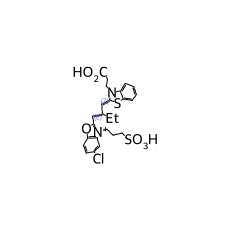 CCC(/C=C1\Sc2ccccc2N1CCC(=O)O)=C\c1oc2ccc(Cl)cc2[n+]1CCCS(=O)(=O)O